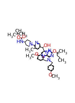 CCC[C@H](C)Oc1nc(N(Cc2ccc(OC)cc2)Cc2ccc(OC)cc2)c2ncc(C(O)c3cnc(N4CCC(NC(=O)OC(C)(C)C)CC4)c(C)c3)n2n1